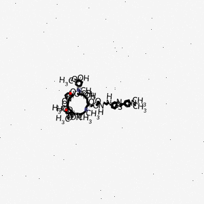 CO[C@H]1C[C@@H](C)[C@@]2(O)O[C@@H]1[C@@H](O)C[C@@H](C)C/C(C)=C/[C@@H](CCOC(=O)NCCNc1ccc3sc(-c4ccc(N(C)C)cc4)nc3c1)C(=O)C[C@H](O)[C@@H](C)[C@@H](/C(C)=C/[C@@H]1CC[C@@H](O)[C@H](OC)C1)OC(=O)[C@@H]1CCCCN1C(=O)C2=O